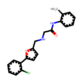 O=C(CNCc1ccc(-c2ccccc2Cl)o1)Nc1ccccc1C(=O)O